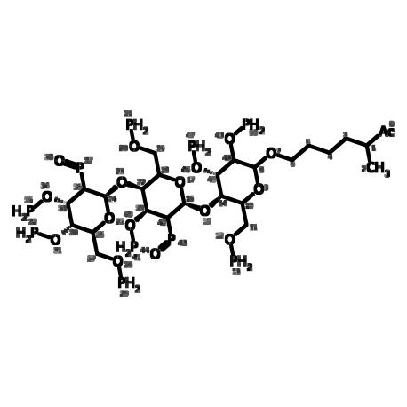 CC(=O)C(C)CCCCOC1OC(COP)[C@@H](O[C@@H]2OC(COP)[C@H](O[C@H]3OC(COP)[C@H](OP)[C@H](OP)C3P=O)[C@H](OP)C2P=O)[C@H](OP)C1OP